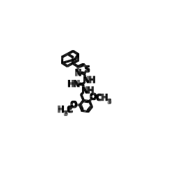 COc1cccc(OC)c1CNC(=N)Nc1nc(C23CC4CC(CC(C4)C2)C3)cs1